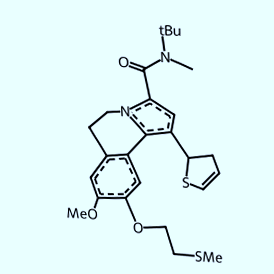 COc1cc2c(cc1OCCSC)-c1c(C3CC=CS3)cc(C(=O)N(C)C(C)(C)C)n1CC2